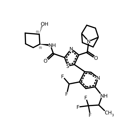 CC(Nc1cc(C(F)F)c(-c2sc(C(=O)N[C@H]3CCC[C@@H]3O)nc2C(=O)N2C3CCC2CC3)cn1)C(F)(F)F